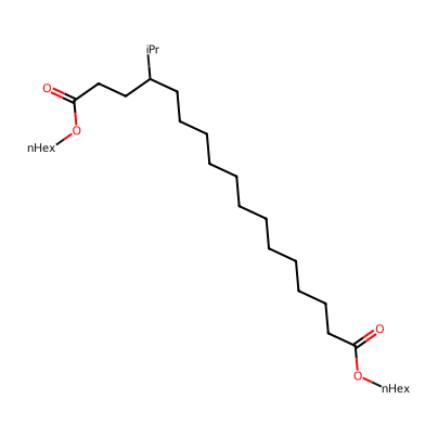 CCCCCCOC(=O)CCCCCCCCCCCCC(CCC(=O)OCCCCCC)C(C)C